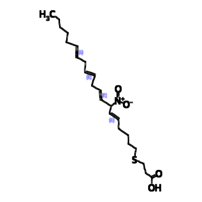 CCCCC/C=C/C/C=C/C/C=C/C(/C=C/CCCCSCCC(=O)O)[N+](=O)[O-]